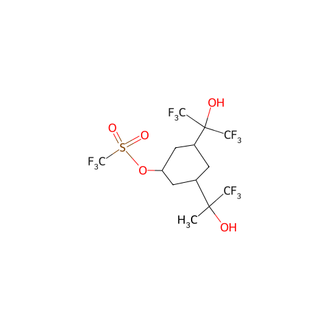 CC(O)(C1CC(OS(=O)(=O)C(F)(F)F)CC(C(O)(C(F)(F)F)C(F)(F)F)C1)C(F)(F)F